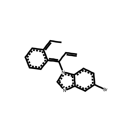 C=C/C(=c1/cccc/c1=C/C)n1cnc2cc(Br)ccc21